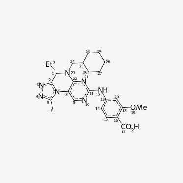 CC[C@H]1c2nnc(C)n2-c2cnc(Nc3ccc(C(=O)O)c(OC)c3)nc2N1CC1CCCCC1